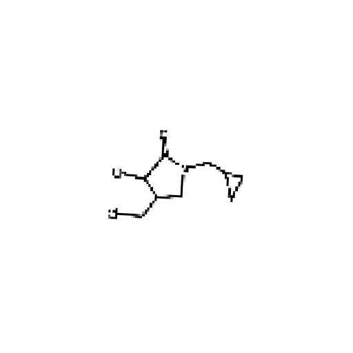 O=C1C(Cl)C(CCl)CN1CC1CC1